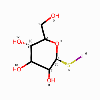 OCC1O[C@@H](SI)C(O)C(O)[C@@H]1O